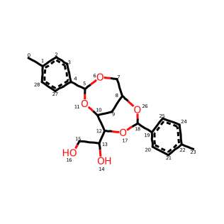 Cc1ccc(C2OCC3CC(O2)C(C(O)CO)OC(c2ccc(C)cc2)O3)cc1